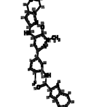 Cn1nc(-c2ccc(F)c(NC(=O)c3cc4ccccc4s3)c2)cc(Nc2cc3n(n2)CCOC3)c1=O